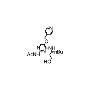 CCCC[C@@H](CCO)Nc1nc(NC(C)=O)ncc1OCc1ccncc1